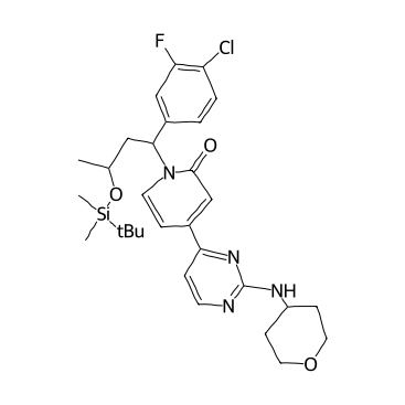 CC(CC(c1ccc(Cl)c(F)c1)n1ccc(-c2ccnc(NC3CCOCC3)n2)cc1=O)O[Si](C)(C)C(C)(C)C